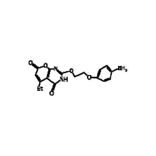 Bc1ccc(OCCOc2nc3oc(=O)cc(CC)c3c(=O)[nH]2)cc1